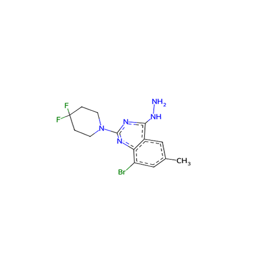 Cc1cc(Br)c2nc(N3CCC(F)(F)CC3)nc(NN)c2c1